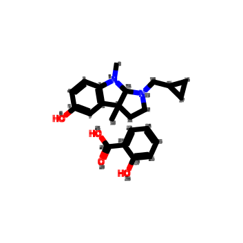 CN1c2ccc(O)cc2C2(C)CCN(CC3CC3)C12.O=C(O)c1ccccc1O